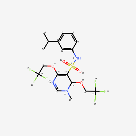 CC(C)c1cccc(NS(=O)(=O)C2=C(OCC(F)(F)F)N=CN(C)C2OCC(F)(F)F)c1